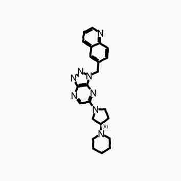 c1cnc2ccc(Cn3nnc4ncc(N5CC[C@@H](N6CCCCC6)C5)nc43)cc2c1